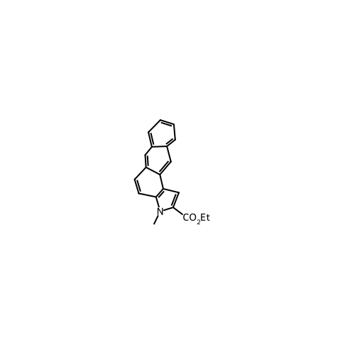 CCOC(=O)c1cc2c3cc4ccccc4cc3ccc2n1C